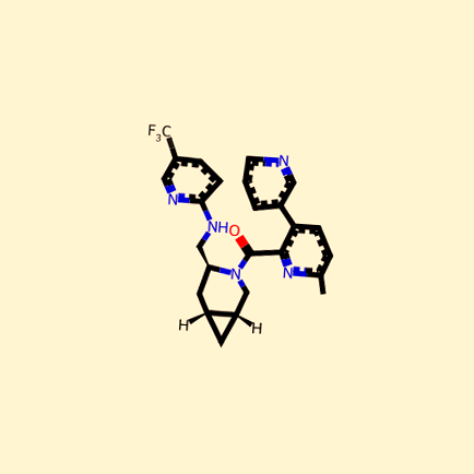 Cc1ccc(-c2cccnc2)c(C(=O)N2C[C@@H]3C[C@@H]3C[C@H]2CNc2ccc(C(F)(F)F)cn2)n1